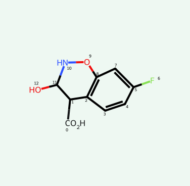 O=C(O)C1c2ccc(F)cc2ONC1O